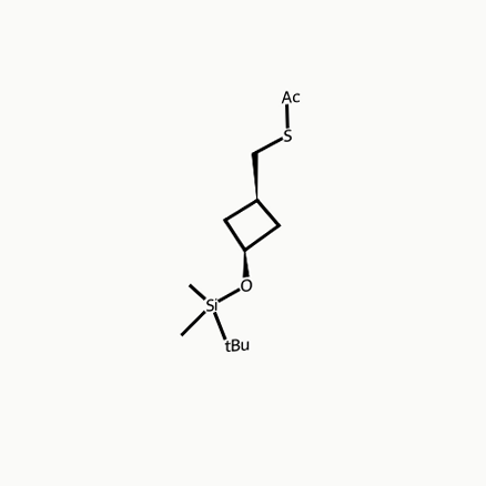 CC(=O)SC[C@H]1C[C@@H](O[Si](C)(C)C(C)(C)C)C1